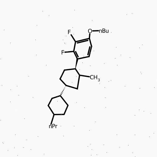 CCCCOc1ccc([C@@H]2CC[C@@H](C3CCC(CCC)CC3)CC2C)c(F)c1F